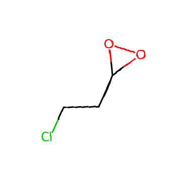 ClCCC1OO1